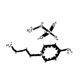 CCCC[n+]1ccc(C)cc1.COS(=O)(=O)[O-]